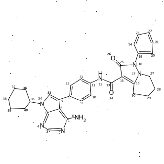 Nc1ncnc2c1c(-c1ccc(NC(=O)c3c4n(n(-c5ccccc5)c3=O)CCCC4)cc1)cn2C1CCCCC1